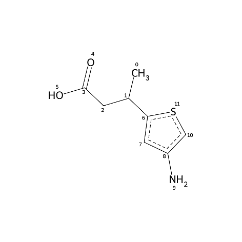 CC(CC(=O)O)c1cc(N)cs1